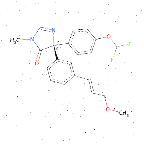 COCC=Cc1cccc([C@]2(c3ccc(OC(F)F)cc3)N=CN(C)C2=O)c1